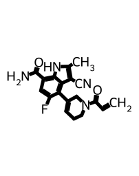 C=CC(=O)N1CCC=C(c2c(F)cc(C(N)=O)c3[nH]c(C)c(C#N)c23)C1